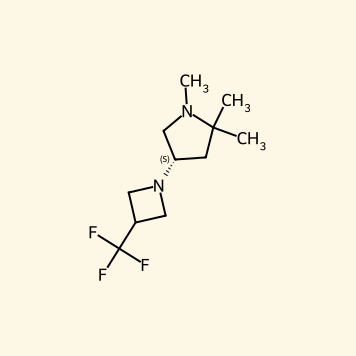 CN1C[C@@H](N2CC(C(F)(F)F)C2)CC1(C)C